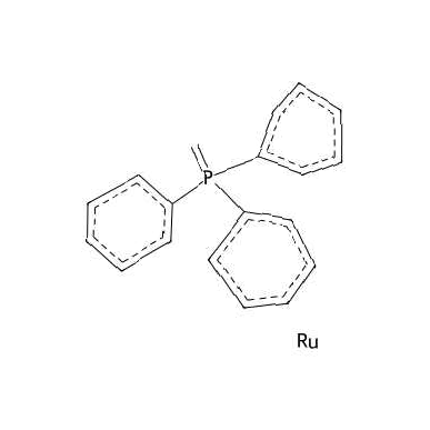 C=P(c1ccccc1)(c1ccccc1)c1ccccc1.[Ru]